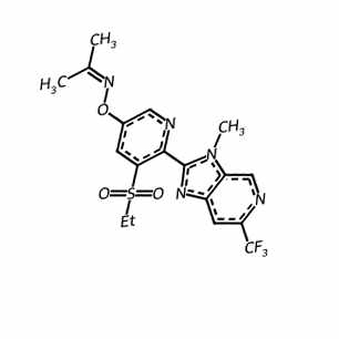 CCS(=O)(=O)c1cc(ON=C(C)C)cnc1-c1nc2cc(C(F)(F)F)ncc2n1C